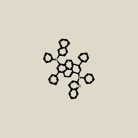 C1=C(c2ccccc2)c2ccc3c(N(c4ccccc4)c4ccc5ccccc5c4)cc(-c4ccccc4)c4c3c2C(=CC4)C1N(c1ccccc1)c1ccc2ccccc2n1